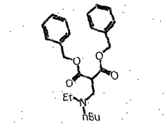 CCCCN(CC)CC(C(=O)OCc1ccccc1)C(=O)OCc1ccccc1